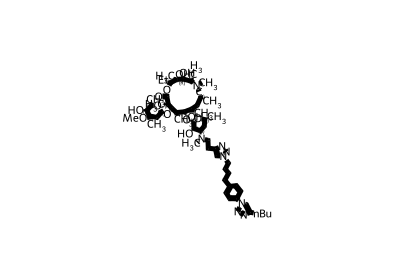 CCCCc1cn(-c2ccc(CCCCn3cc(CCN(C)[C@H]4C[C@@H](C)O[C@@H](O[C@@H]5[C@@H](C)[C@H](O[C@H]6C[C@@](C)(OC)[C@@H](O)[C@H](C)O6)[C@@H](C)C(=O)O[C@H](CC)[C@@](C)(O)[C@H](O)[C@@H](C)N(C)C[C@H](C)C[C@@]5(C)O)[C@@H]4O)nn3)cc2)nn1